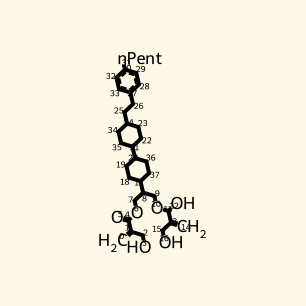 C=C(CO)C(=O)OCC(COC(O)C(=C)CO)C1CCC(C2CCC(CCc3ccc(CCCCC)cc3)CC2)CC1